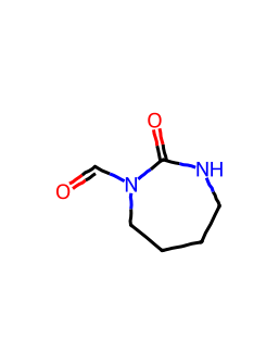 O=CN1CCCCNC1=O